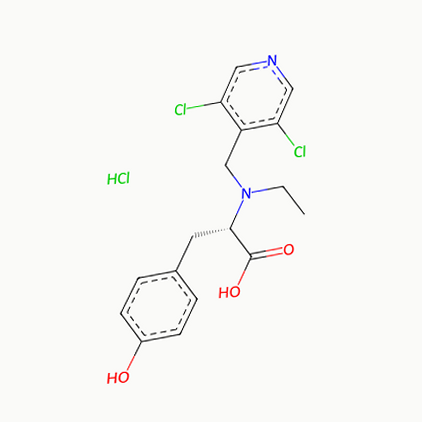 CCN(Cc1c(Cl)cncc1Cl)[C@@H](Cc1ccc(O)cc1)C(=O)O.Cl